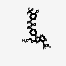 CCOc1nc2c(NC)ncnc2n1-c1ccc(NC(=O)Nc2ccc(Cl)c(C(F)(F)F)c2)cc1